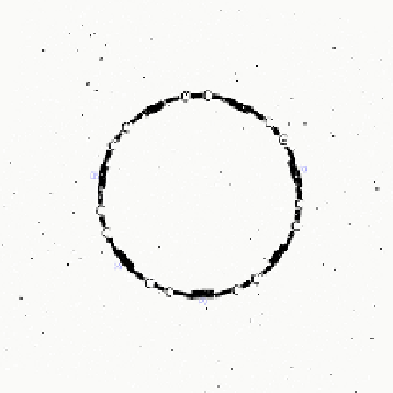 C1=CCC/C=C\CCC=CCC/C=C\CC/C=C\CC/C=C\CCC=CCC1